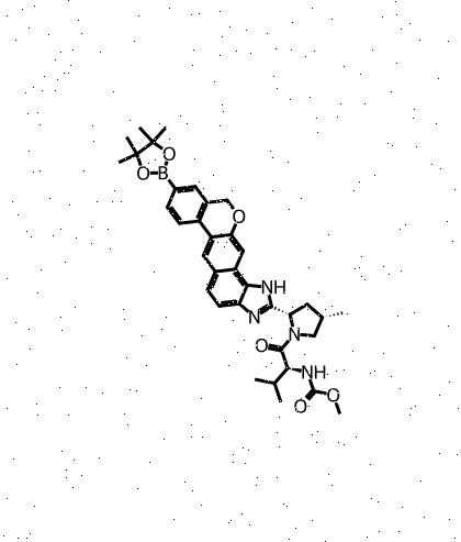 COC(=O)N[C@H](C(=O)N1C[C@@H](C)C[C@H]1c1nc2ccc3cc4c(cc3c2[nH]1)OCc1cc(B2OC(C)(C)C(C)(C)O2)ccc1-4)C(C)C